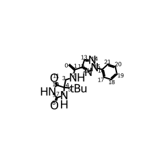 C=C(NCC1(C(C)(C)C)NC(=O)NC1=O)c1cnn(-c2ccccc2)n1